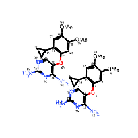 COc1cc(Oc2cnc(N)nc2N)c(C2CC2)cc1OC.COc1cc(Oc2cnc(N)nc2N)c(C2CC2)cc1OC